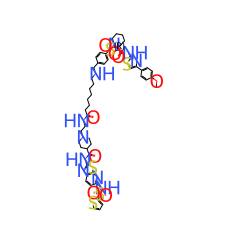 COc1ccc(-c2csc(NC(=O)[C@H]3CCCCN3S(=O)(=O)c3ccc(CNCCCCCCCC(=O)NCCN4CCC(C(=O)Nc5nc6ccc(NS(=O)(=O)c7cccs7)nc6s5)CC4)cc3)n2)cc1